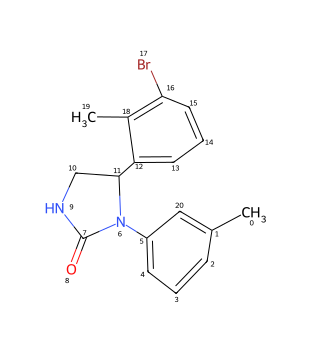 Cc1cccc(N2C(=O)NCC2c2cccc(Br)c2C)c1